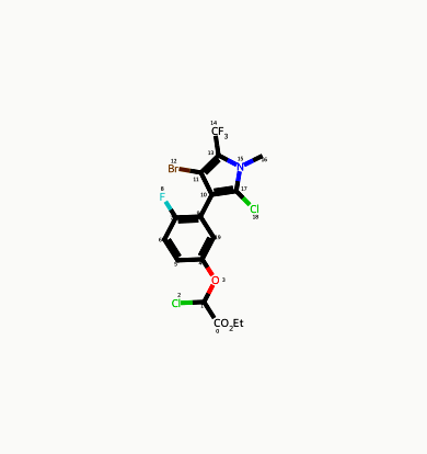 CCOC(=O)C(Cl)Oc1ccc(F)c(-c2c(Br)c(C(F)(F)F)n(C)c2Cl)c1